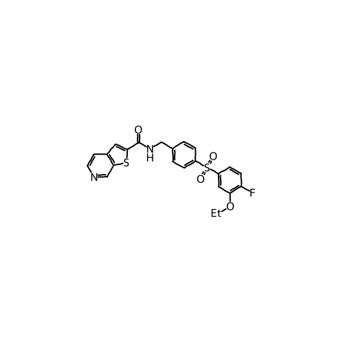 CCOc1cc(S(=O)(=O)c2ccc(CNC(=O)c3cc4ccncc4s3)cc2)ccc1F